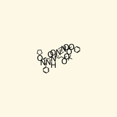 CC(C)(C)OC(=O)CC[C@H](NC(=O)c1cc(OC2CCCC2)nc(-c2ccccc2)n1)C(=O)N1CCN(OC(=O)Oc2ccccc2)CC1